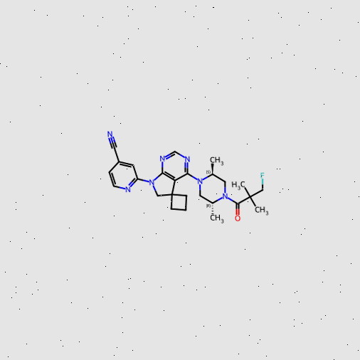 C[C@@H]1CN(c2ncnc3c2C2(CCC2)CN3c2cc(C#N)ccn2)[C@@H](C)CN1C(=O)C(C)(C)CF